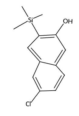 C[Si](C)(C)c1cc2cc(Cl)ccc2cc1O